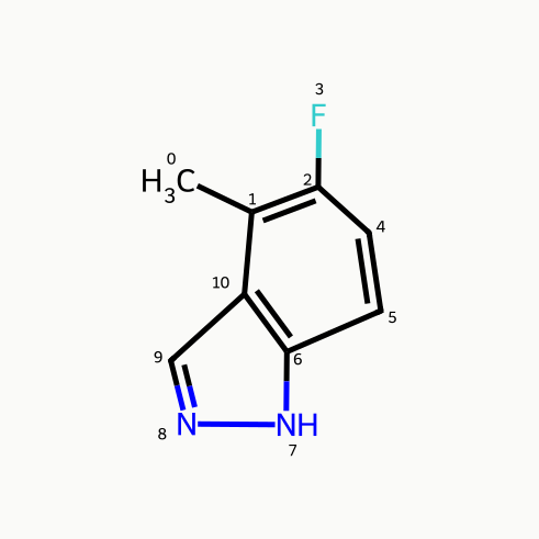 Cc1c(F)ccc2[nH]ncc12